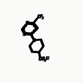 O=C(O)C1CCN(c2cc(C(F)(F)F)ncn2)CC1